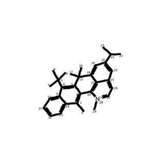 Cc1c2c(c(C(C)(C)C)c3ccccc13)C(C)(C)c1cc(C(C)C)cc3cc[n+](C)c-2c13